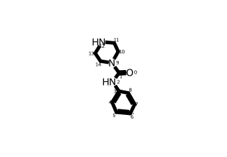 O=C(Nc1cc[c]cc1)N1CCNCC1